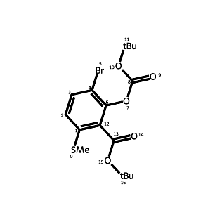 CSc1ccc(Br)c(OC(=O)OC(C)(C)C)c1C(=O)OC(C)(C)C